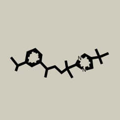 CC(C)c1cccc(C(C)CCC(C)(C)c2ncc(C(C)(C)C)cn2)c1